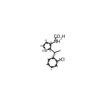 CC(c1ccccc1Cl)c1sccc1NC(=O)O